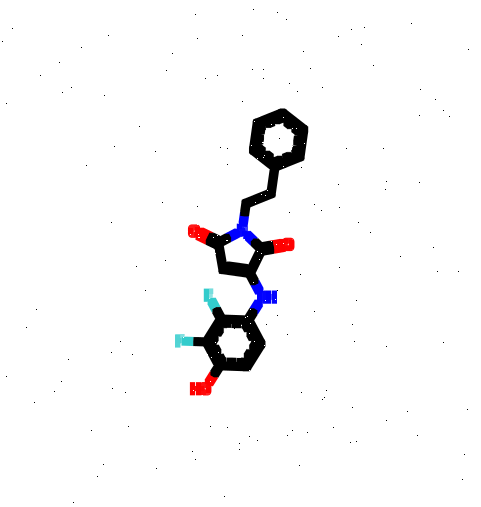 O=C1C=C(Nc2ccc(O)c(F)c2F)C(=O)N1CCc1ccccc1